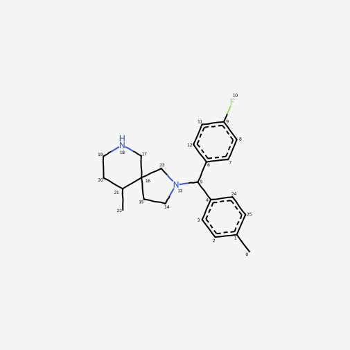 Cc1ccc(C(c2ccc(F)cc2)N2CCC3(CNCCC3C)C2)cc1